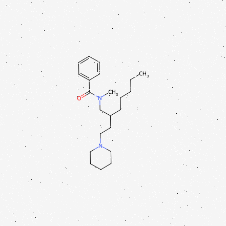 CCCCCC(CCN1CCCCC1)CN(C)C(=O)c1ccccc1